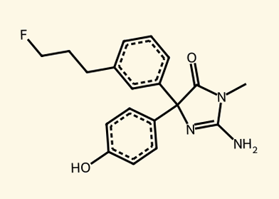 CN1C(=O)C(c2ccc(O)cc2)(c2cccc(CCCF)c2)N=C1N